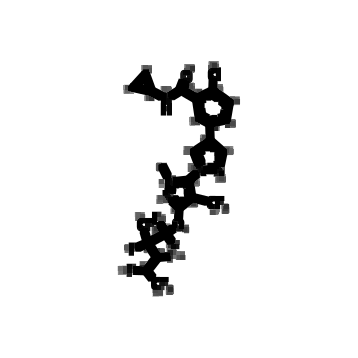 Cn1nc(OC(F)(F)C(F)(C(F)C(F)C(F)(F)F)C(F)(F)F)c(C(F)(F)F)c1-n1cc(-c2ccc(Cl)c(C(=O)NC3CC3)c2)cn1